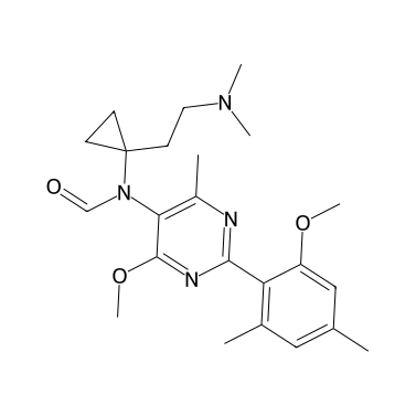 COc1cc(C)cc(C)c1-c1nc(C)c(N(C=O)C2(CCN(C)C)CC2)c(OC)n1